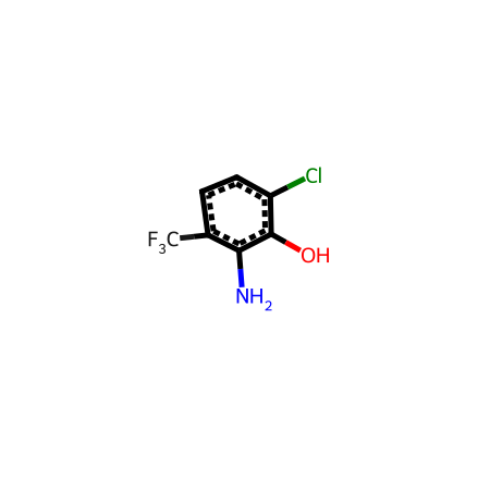 Nc1c(C(F)(F)F)ccc(Cl)c1O